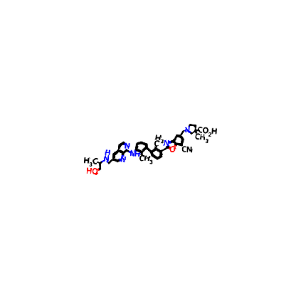 Cc1c(Nc2nccc3cc(CN[C@H](C)CO)cnc23)cccc1-c1cccc(-c2nc3cc(CN4CC[C@@](C)(C(=O)O)C4)cc(C#N)c3o2)c1C